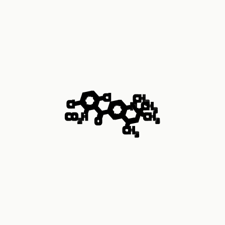 CC1=CC(C)(C)N(C)c2ccc(C(=O)c3c(Cl)ccc(Cl)c3C(=O)O)cc21